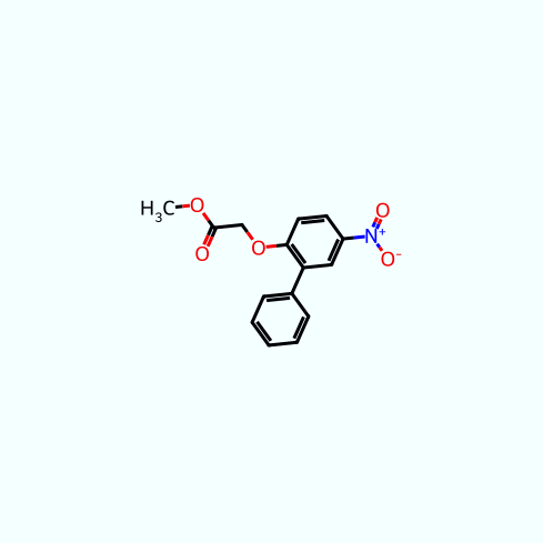 COC(=O)COc1ccc([N+](=O)[O-])cc1-c1ccccc1